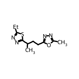 CCc1nnc(C(C)CCc2nnc(C)o2)s1